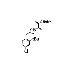 C=C(OC)C(=C)N1CC(Cc2ccc(Cl)cc2C(C)(C)C)C1